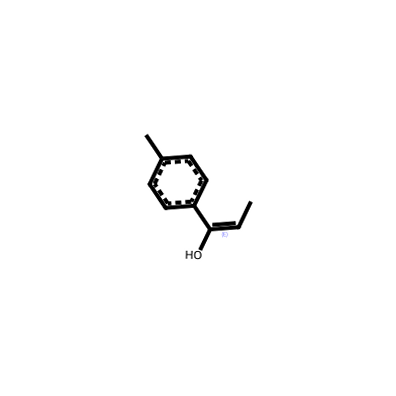 C/C=C(/O)c1ccc(C)cc1